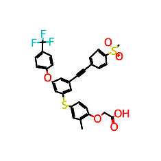 Cc1cc(Sc2cc(C#Cc3ccc(S(C)(=O)=O)cc3)cc(Oc3ccc(C(F)(F)F)cc3)c2)ccc1OCC(=O)O